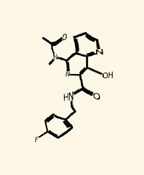 CC(=O)N(C)c1nc(C(=O)NCc2ccc(F)cc2)c(O)c2ncccc12